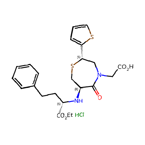 CCOC(=O)[C@H](CCc1ccccc1)N[C@H]1CS[C@H](c2cccs2)CN(CC(=O)O)C1=O.Cl